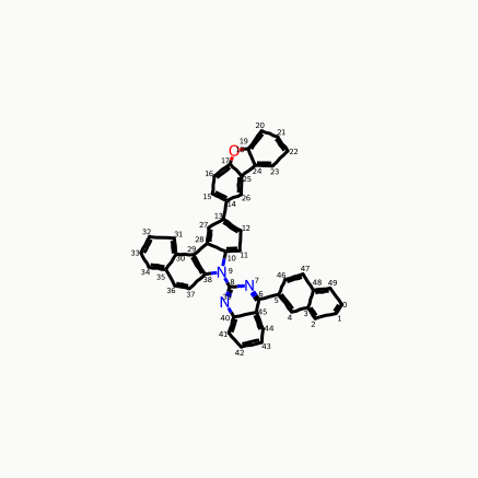 c1ccc2cc(-c3nc(-n4c5ccc(-c6ccc7oc8ccccc8c7c6)cc5c5c6ccccc6ccc54)nc4ccccc34)ccc2c1